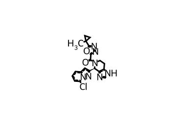 CC1(c2nnc(C(=O)N3CCc4[nH]cnc4[C@H]3c3cc4cccc(Cl)n4n3)o2)CC1